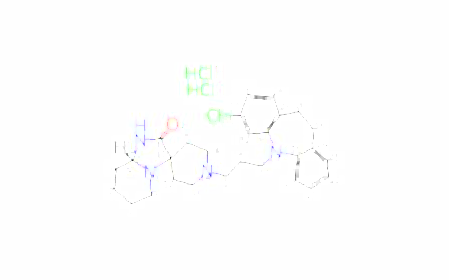 Cl.Cl.O=C1N[C@H]2CCCCN2C12CCN(CCCN1c3ccccc3CCc3ccc(Cl)cc31)CC2